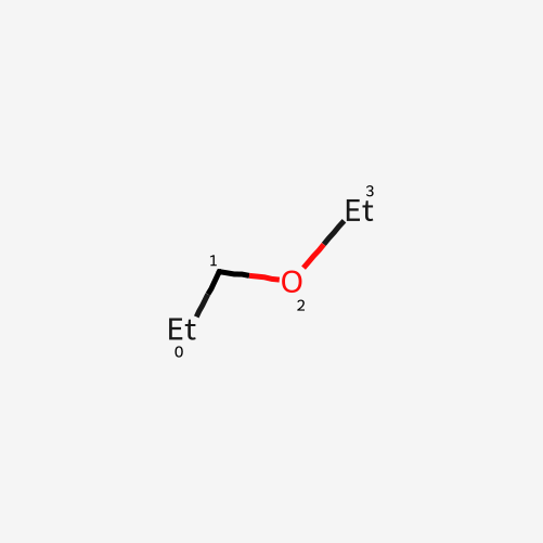 CCCOCC